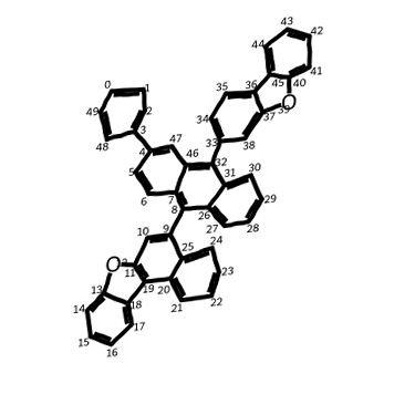 c1ccc(-c2ccc3c(-c4cc5oc6ccccc6c5c5ccccc45)c4ccccc4c(-c4ccc5c(c4)oc4ccccc45)c3c2)cc1